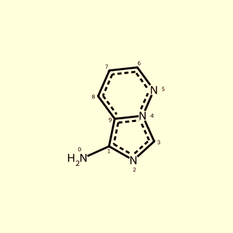 Nc1ncn2ncccc12